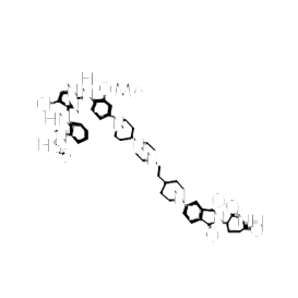 COc1cc(N2CCC(N3CCN(CCC4CCN(c5ccc6c(c5)C(=O)N(C5CCC(=O)NC5=O)C6=O)CC4)CC3)CC2)ccc1Nc1ncc(Cl)c(Nc2ccccc2N(C)[SH]=O)n1